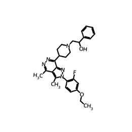 CCOc1ccc(-n2nc3c(C4CCN(CC(O)c5ccccc5)CC4)nnc(C)c3c2C)c(F)c1